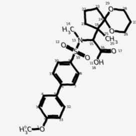 COc1ccc(-c2ccc(S(=O)(=O)N(C)C(C(=O)O)C3(C)CCCC34OCCCO4)cc2)cc1